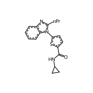 CCCc1nc2ccccc2n1-c1ccc(C(=O)NC2CC2)s1